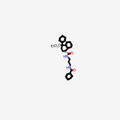 CCOC(=O)C1(c2ccccc2)CC[C@@H](C(=O)NCCCNC(=O)c2ccccc2)c2ccccc21